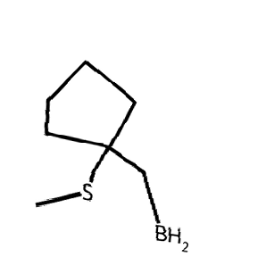 BCC1(SC)CCCC1